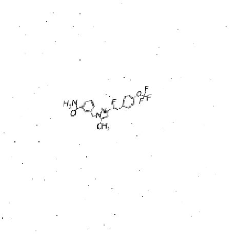 Cc1cc(C(F)=Cc2ccc(OC(F)(F)F)cc2)nn1Cc1cccc(C(N)=O)c1